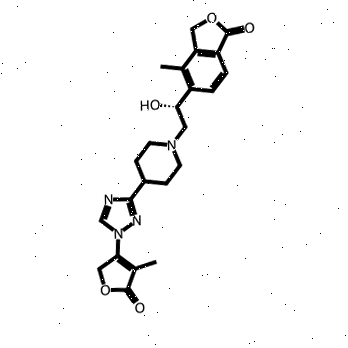 CC1=C(n2cnc(C3CCN(C[C@H](O)c4ccc5c(c4C)COC5=O)CC3)n2)COC1=O